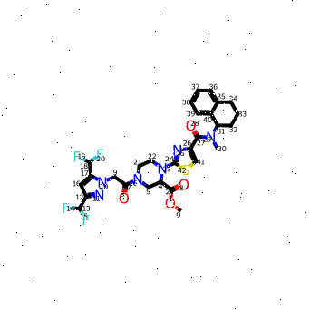 COC(=O)C1CN(C(=O)Cn2nc(C(F)F)cc2C(F)F)CCN1c1nc(C(=O)N(C)C2CCCc3ccccc32)cs1